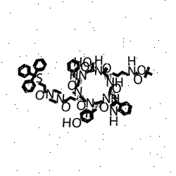 C[C@@H](O)[C@@H]1NC(=O)[C@H](CCCCNC(=O)OC(C)(C)C)NC(=O)[C@@H](Cc2c[nH]c3ccccc23)NC(=O)[C@H](Cc2ccc(O)cc2)NC(=O)[C@H](CCC(=O)N2CCN(C(=O)CCSC(c3ccccc3)(c3ccccc3)c3ccccc3)CC2)N(C)C(=O)[C@H](Cc2ccccc2)NC1=O